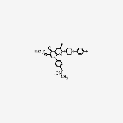 CCOC(=O)Oc1cn(-c2ccc(CN(C)C)cc2)c2nc(N3CCN(c4ccc(F)cc4)CC3)c(F)cc2c1=O